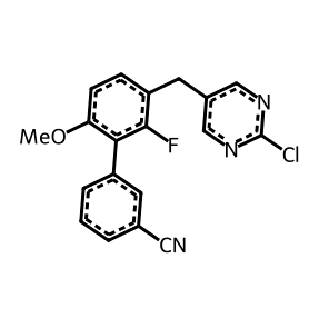 COc1ccc(Cc2cnc(Cl)nc2)c(F)c1-c1cccc(C#N)c1